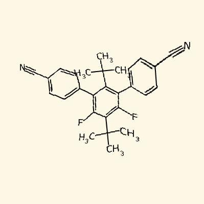 CC(C)(C)c1c(F)c(-c2ccc(C#N)cc2)c(C(C)(C)C)c(-c2ccc(C#N)cc2)c1F